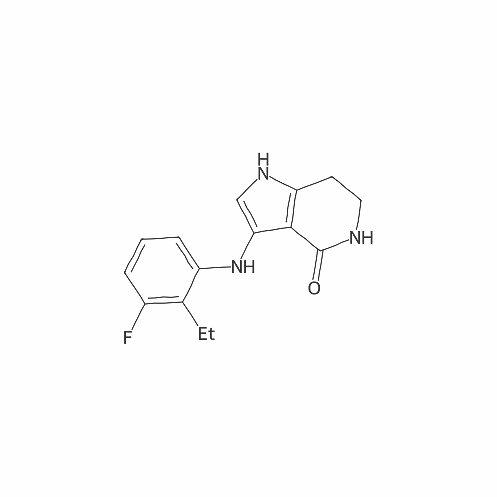 CCc1c(F)cccc1Nc1c[nH]c2c1C(=O)NCC2